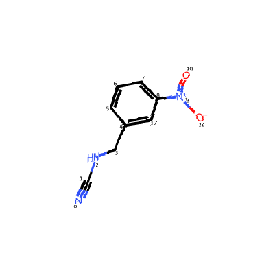 N#CNCc1cccc([N+](=O)[O-])c1